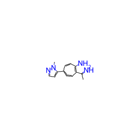 CC(=N)C1=C(N)C=CC(c2ccnn2C)=C=C1